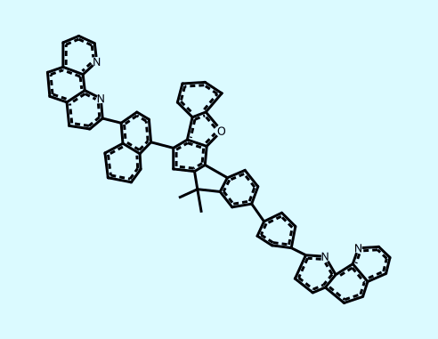 CC1(C)c2cc(-c3ccc(-c4ccc5ccc6cccnc6c5n4)cc3)ccc2-c2c1cc(-c1ccc(-c3ccc4ccc5cccnc5c4n3)c3ccccc13)c1c2oc2ccccc21